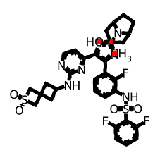 CC1(O)CC2CCC(C1)N2c1nc(-c2cccc(NS(=O)(=O)c3c(F)cccc3F)c2F)c(-c2ccnc(NC3CC4(C3)CS(=O)(=O)C4)n2)s1